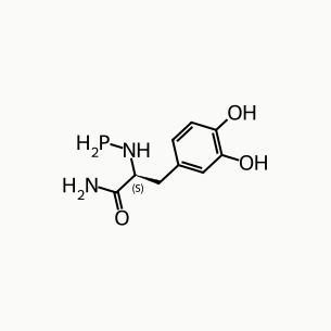 NC(=O)[C@H](Cc1ccc(O)c(O)c1)NP